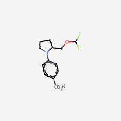 O=C(O)c1ccc(N2CCCC2COC(F)F)cc1